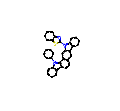 c1ccc(-n2c3ccccc3c3ccc4cc5c6ccccc6n(-c6nc7ccccc7s6)c5cc4c32)cc1